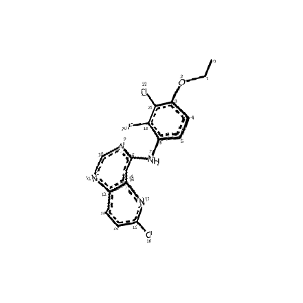 CCOc1ccc(Nc2ncnc3ccc(Cl)nc23)c(F)c1Cl